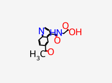 CC(=O)c1ccc2nccc(C(=O)NCC(=O)O)c2c1